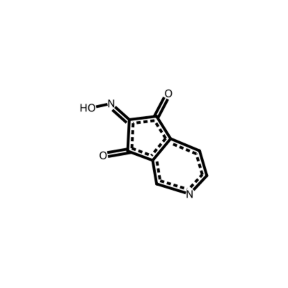 O=c1/c(=N/O)c(=O)c2cnccc12